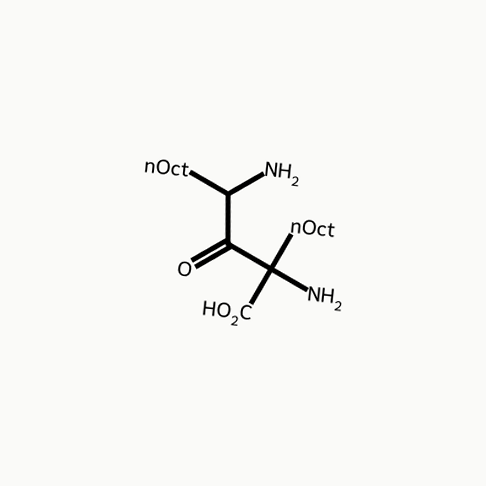 CCCCCCCCC(N)C(=O)C(N)(CCCCCCCC)C(=O)O